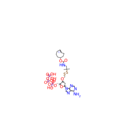 CC(C)(CNC(=O)OC1CC/C=C/CCC1)SSCO[C@@H]1C[C@H](n2cnc3c(N)ncnc32)O[C@@H]1COP(=O)(O)OP(=O)(O)OP(=O)(O)O